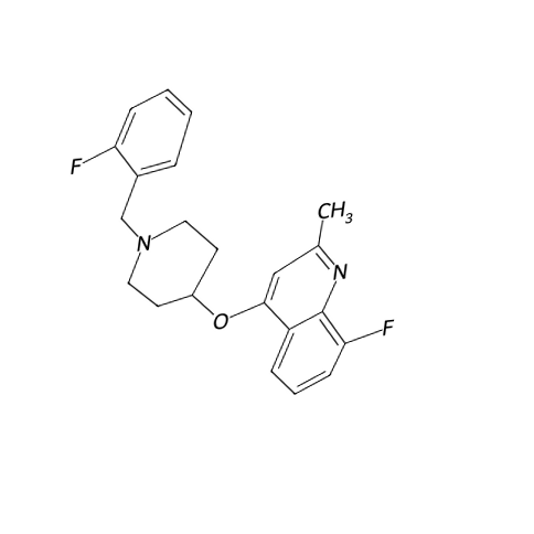 Cc1cc(OC2CCN(Cc3ccccc3F)CC2)c2cccc(F)c2n1